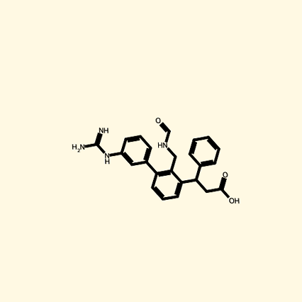 N=C(N)Nc1cccc(-c2cccc(C(CC(=O)O)c3ccccc3)c2CNC=O)c1